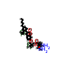 CCCCCc1ccc(-c2cc3ccc(OCC(C)(COC(=O)C(C)(CC(C)(C)N)C(C)(C)N)C(F)(F)F)cc3oc2=O)c(C(F)(F)F)c1